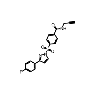 C#CCNC(=O)c1ccc(S(=O)(=O)n2ccc(-c3ccc(F)cc3)n2)cc1